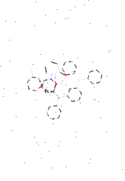 Cc1cc(C)c(C2=CC=CC3=CN(c4c(C(c5ccccc5)c5ccccc5)cc(C)cc4C(c4ccccc4)c4ccccc4)[CH]([Au-][Cl])N32)c(C)c1